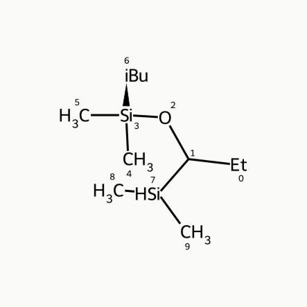 CCC(O[Si](C)(C)[C@H](C)CC)[SiH](C)C